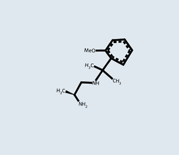 COc1ccccc1C(C)(C)NC[C@H](C)N